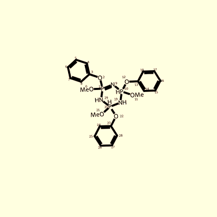 COP1(Oc2ccccc2)=N[PH](OC)(Oc2ccccc2)N[PH](OC)(Oc2ccccc2)N1